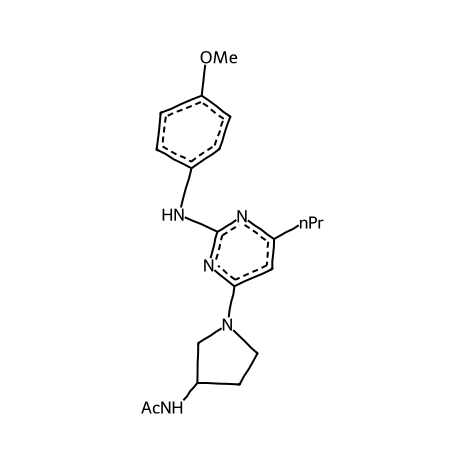 CCCc1cc(N2CCC(NC(C)=O)C2)nc(Nc2ccc(OC)cc2)n1